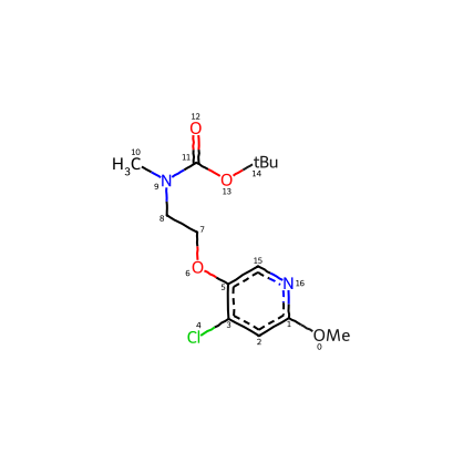 COc1cc(Cl)c(OCCN(C)C(=O)OC(C)(C)C)cn1